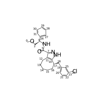 COC[C@H](NC(=O)c1n[nH]c2c1CCCCC[C@@H]2Cc1cccc(Cl)c1)c1ccccc1